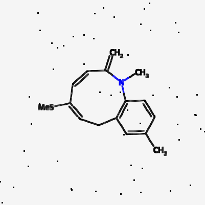 C=C1/C=C\C(SC)=C/Cc2cc(C)ccc2N1C